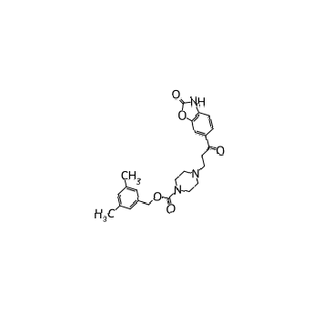 Cc1cc(C)cc(COC(=O)N2CCN(CCC(=O)c3ccc4[nH]c(=O)oc4c3)CC2)c1